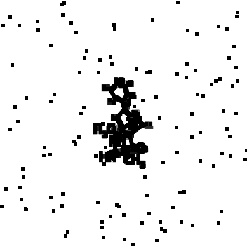 CN1C(=N)N[C@](C)(c2cc(-c3ccncc3)cs2)[C@@H](C2CC2)C1=O